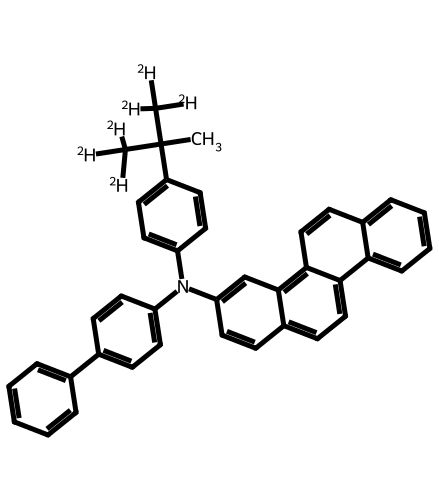 [2H]C([2H])([2H])C(C)(c1ccc(N(c2ccc(-c3ccccc3)cc2)c2ccc3ccc4c5ccccc5ccc4c3c2)cc1)C([2H])([2H])[2H]